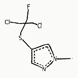 [CH2]n1cc(SC(F)(Cl)Cl)cn1